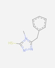 Cn1c(S)nnc1Cc1ccccc1